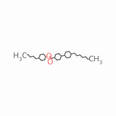 CCCCCCCC1CCC(C2CCC(C(=O)OC3CCC(CCCCC)CC3)CC2)CC1